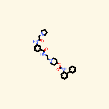 O=C(CN1CCCC1)Nc1cccc(C(=O)NCCN2CCC(OC(=O)Nc3ccccc3-c3ccccc3)CC2)c1